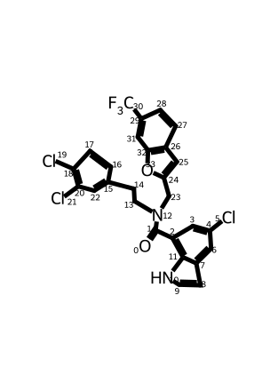 O=C(c1cc(Cl)cc2cc[nH]c12)N(CCc1ccc(Cl)c(Cl)c1)Cc1cc2ccc(C(F)(F)F)cc2o1